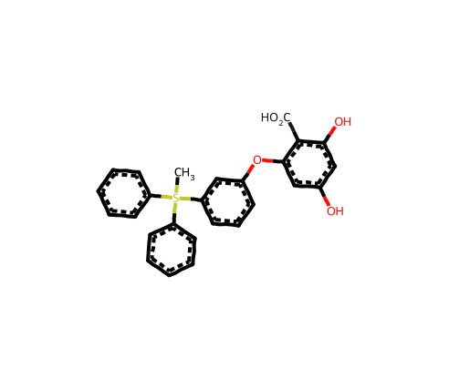 CS(c1ccccc1)(c1ccccc1)c1cccc(Oc2cc(O)cc(O)c2C(=O)O)c1